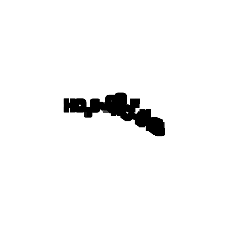 O=C1O[C@H](CCS(=O)(=O)O)CN1c1ccc(-c2ccc(N3CCSCC3)nc2)c(F)c1